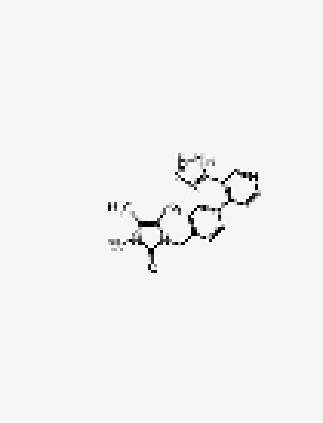 CCCc1c(C)n(CC)c(=O)n1Cc1ccc(-c2ccncc2-c2nnn[nH]2)cc1